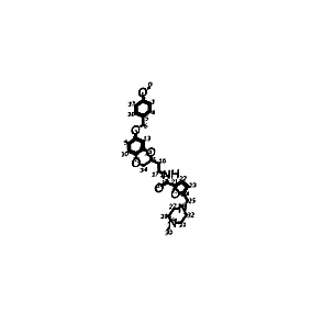 COc1ccc(COc2ccc3c(c2)OC(CCNC(=O)c2ccc(CN4CCN(C)CC4)o2)CO3)cc1